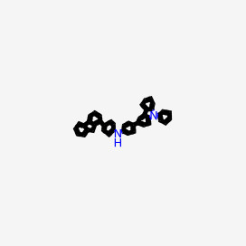 c1ccc(-n2c3ccccc3c3cc(-c4ccc(Nc5ccc(-c6cccc7c6Cc6ccccc6-7)cc5)cc4)ccc32)cc1